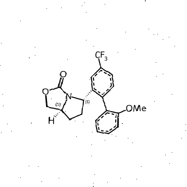 COc1ccccc1-c1ccc(C(F)(F)F)cc1[C@@H]1CC[C@H]2COC(=O)N21